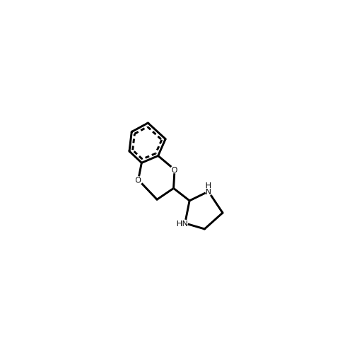 c1ccc2c(c1)OCC(C1NCCN1)O2